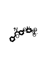 CN(C)C1CC(c2ccccc2)Oc2ccc(Oc3ccc([N+](=O)[O-])cn3)cc21